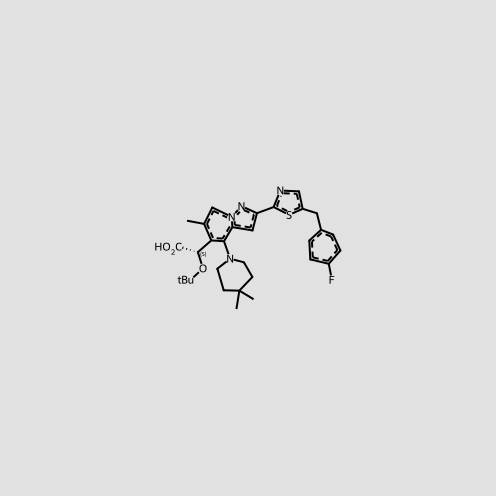 Cc1cn2nc(-c3ncc(Cc4ccc(F)cc4)s3)cc2c(N2CCC(C)(C)CC2)c1[C@H](OC(C)(C)C)C(=O)O